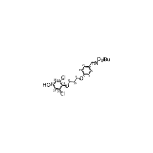 CCC(C)O/N=C/c1ccc(OCCCOc2c(Cl)cc(O)cc2Cl)cc1